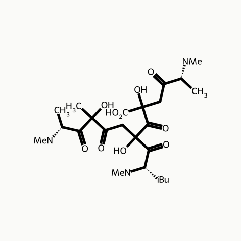 CCC(C)[C@H](NC)C(=O)C(O)(CC(=O)C(C)(O)C(=O)[C@@H](C)NC)C(=O)C(O)(CC(=O)[C@@H](C)NC)C(=O)O